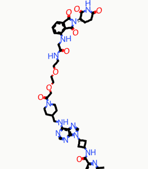 Cc1cccc(C(=O)NC2CC(n3cnc4c(NCC5CCN(C(=O)COCCOCCNC(=O)CNc6cccc7c6C(=O)N([C@H]6CCC(=O)NC6=O)C7=O)CC5)ncnc43)C2)n1